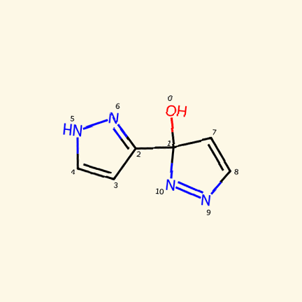 OC1(c2cc[nH]n2)C=CN=N1